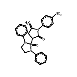 C=C1CC(P2(=O)N(c3ccccc3)CCN2c2ccccc2)C(=O)N1c1ccc([N+](=O)[O-])cc1